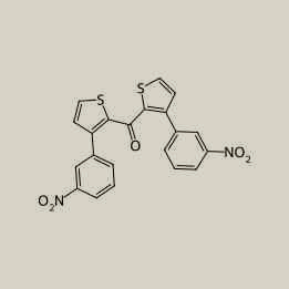 O=C(c1sccc1-c1cccc([N+](=O)[O-])c1)c1sccc1-c1cccc([N+](=O)[O-])c1